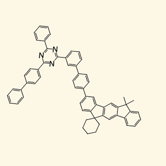 CC1(C)c2ccccc2-c2cc3c(cc21)-c1cc(-c2ccc(-c4cccc(-c5nc(-c6ccccc6)nc(-c6ccc(-c7ccccc7)cc6)n5)c4)cc2)ccc1C31CCCCC1